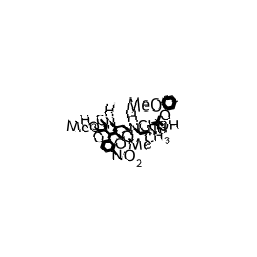 COC(=O)C1=C(C)NC(CCNCC(C)(C)NCC(O)COc2ccccc2OC)=C(C(=O)OC)C1c1cccc([N+](=O)[O-])c1